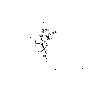 CCOC(C)(Cc1ccc(OC)c(OC)c1)OCC